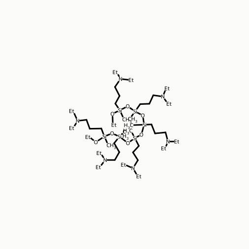 CCO[Si](C)(CCCN(CC)CC)O[Si](C)(CCCN(CC)CC)O[Si](C)(CCCN(CC)CC)O[Si](C)(CCCN(CC)CC)O[Si](C)(CCCN(CC)CC)O[Si](C)(CCCN(CC)CC)OCC